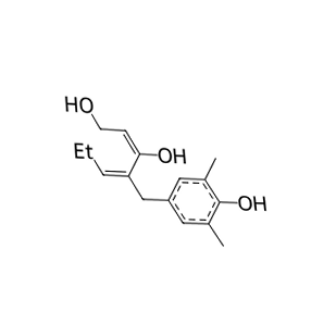 CC/C=C(Cc1cc(C)c(O)c(C)c1)\C(O)=C/CO